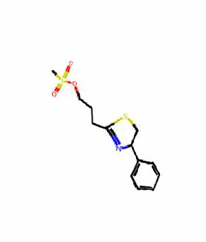 CS(=O)(=O)OCCCC1=NC(c2ccccc2)CS1